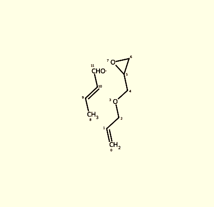 C=CCOCC1CO1.CC=C[C]=O